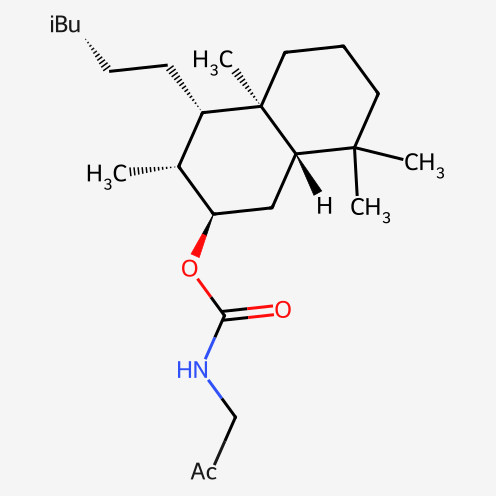 CC[C@@H](C)CC[C@H]1[C@@H](C)[C@H](OC(=O)NCC(C)=O)C[C@H]2C(C)(C)CCC[C@]12C